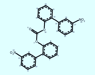 O=C(Oc1ccccc1-c1cccc([N+](=O)[O-])c1)Oc1ccccc1-c1cccc([N+](=O)[O-])c1